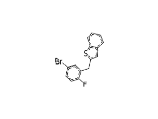 Fc1ccc(Br)cc1Cc1cc2ccccc2s1